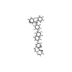 C1=CC2C=Cc3cc(-c4ccc5cc(-c6ccc(N(c7ccccc7)c7cccnc7)cc6)ccc5c4)cnc3C2N=C1